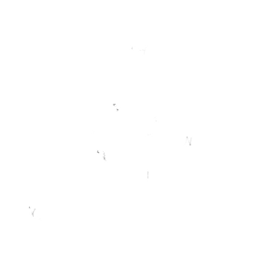 Cc1c(C(=O)CN2CCCCC2)c2nc(CCC(=O)O)ccc2n1-c1ccc(C#N)cc1